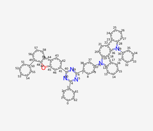 c1ccc(-c2nc(-c3ccc(-n4c5ccccc5c5c4ccc4c6ccccc6n(-c6ccccc6)c45)cc3)nc(-c3ccc4c(c3)oc3c(-c5ccccc5)cccc34)n2)cc1